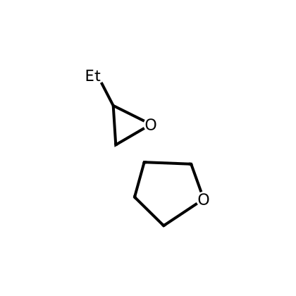 C1CCOC1.CCC1CO1